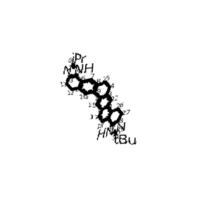 CC(C)c1nc2c([nH]1)-c1cc3c(cc1CC2)-c1cc2ccc4c(c2cc1CC3)CCc1nc(C(C)(C)C)[nH]c1-4